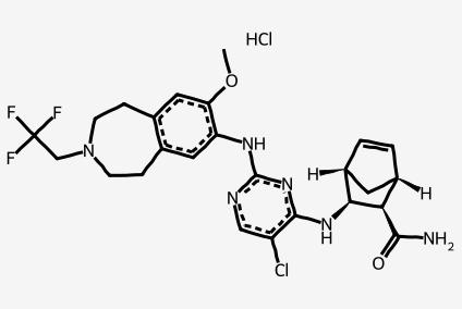 COc1cc2c(cc1Nc1ncc(Cl)c(N[C@@H]3[C@H](C(N)=O)[C@H]4C=C[C@@H]3C4)n1)CCN(CC(F)(F)F)CC2.Cl